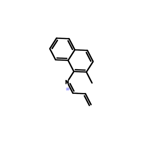 C=C/C=N\c1c(C)ccc2ccccc12